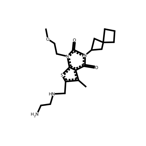 COCCn1c(=O)n(C2CC3(CCC3)C2)c(=O)c2c(C)c(CNCCN)sc21